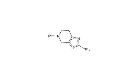 CC(C)N1CCc2nc(N)sc2C1